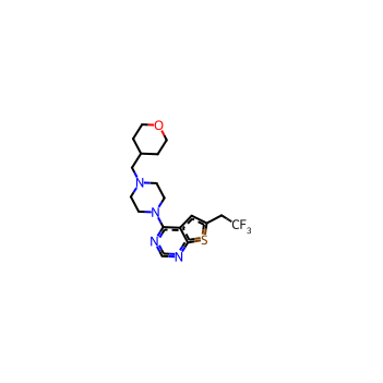 FC(F)(F)Cc1cc2c(N3CCN(CC4CCOCC4)CC3)ncnc2s1